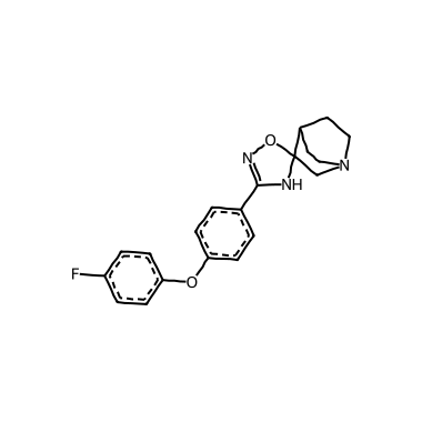 Fc1ccc(Oc2ccc(C3=NOC4(CN5CCC4CC5)N3)cc2)cc1